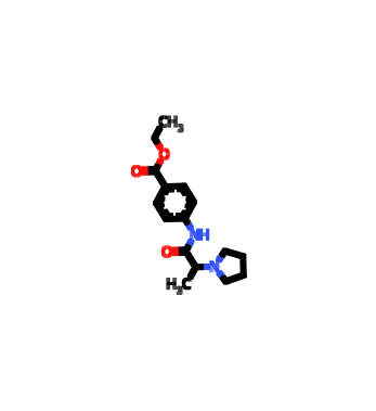 CCOC(=O)c1ccc(NC(=O)C(C)N2CCCC2)cc1